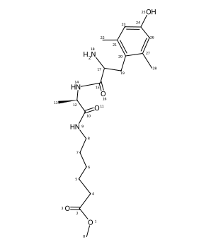 COC(=O)CCCCCNC(=O)[C@@H](C)NC(=O)C(N)Cc1c(C)cc(O)cc1C